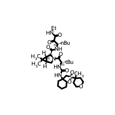 CCCC[C@H](NC(=O)[C@@H]1[C@@H]2[C@H](CN1C(=O)[C@@H](NC(=O)NC1(CS(=O)(=O)C3(C)CCOCC3)CCCCC1)C(C)(C)C)C2(C)C)C(=O)C(=O)NCC